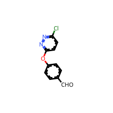 O=Cc1ccc(Oc2ccc(Cl)nn2)cc1